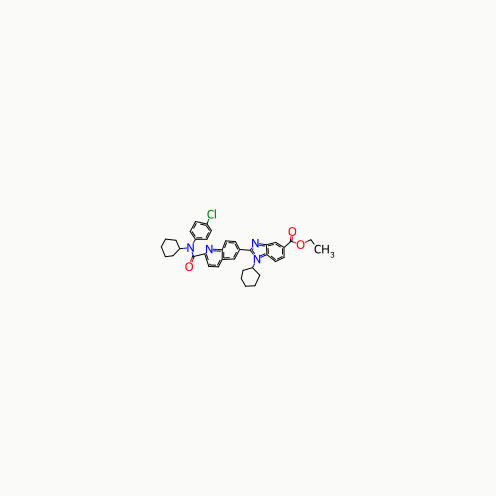 CCOC(=O)c1ccc2c(c1)nc(-c1ccc3nc(C(=O)N(c4ccc(Cl)cc4)C4CCCCC4)ccc3c1)n2C1CCCCC1